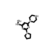 CC(C)(C)Nc1cc(N2CCNCC2)nc(N2CCCC2)n1